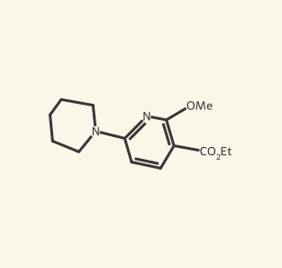 CCOC(=O)c1ccc(N2CCCCC2)nc1OC